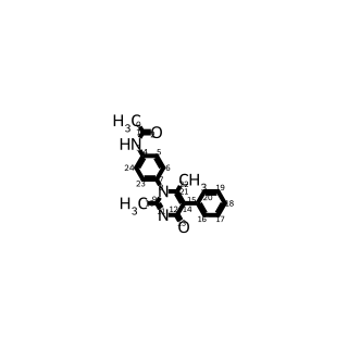 CC(=O)Nc1ccc(-n2c(C)nc(=O)c(-c3ccccc3)c2C)cc1